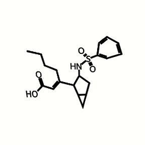 CCCCC(=CC(=O)O)C1C(NS(=O)(=O)c2ccccc2)CC2CC21